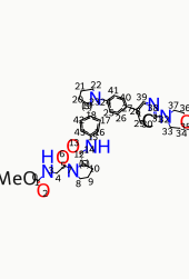 COC(=O)NCC(=O)N1CCC[C@H]1C(=O)Nc1ccc([C@@H]2CCCN2c2ccc(-c3ccc(N4CCOCC4)nc3)cc2)cc1